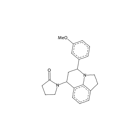 COc1cccc(C2CC(N3CCCC3=O)c3cccc4c3N2CC4)c1